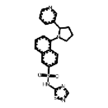 O=S(=O)(Nc1ncns1)c1ccc2c(N3CCCC3c3cccnc3)cccc2c1